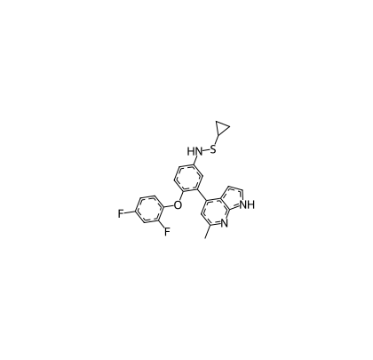 Cc1cc(-c2cc(NSC3CC3)ccc2Oc2ccc(F)cc2F)c2cc[nH]c2n1